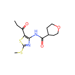 CCC(=O)c1sc(SC)nc1NC(=O)C1CCOCC1